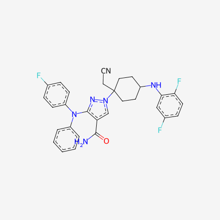 N#CCC1(n2cc(C(N)=O)c(N(c3ccccc3)c3ccc(F)cc3)n2)CCC(Nc2cc(F)ccc2F)CC1